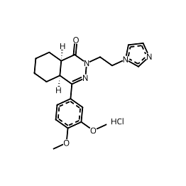 COc1ccc(C2=NN(CCn3ccnc3)C(=O)[C@@H]3CCCC[C@H]23)cc1OC.Cl